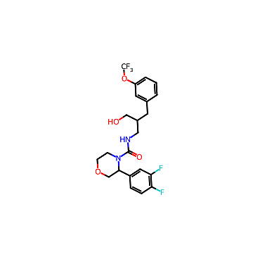 O=C(NCC(CO)Cc1cccc(OC(F)(F)F)c1)N1CCOCC1c1ccc(F)c(F)c1